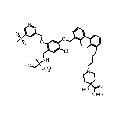 COC(=O)C1(O)CCN(CCCOc2cccc(-c3cccc(COc4cc(OCc5cncc(S(C)(=O)=O)c5)c(CNC(C)(CO)C(=O)O)cc4Cl)c3C)c2C)CC1